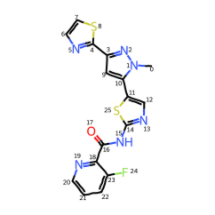 Cn1nc(-c2nccs2)cc1-c1cnc(NC(=O)c2ncccc2F)s1